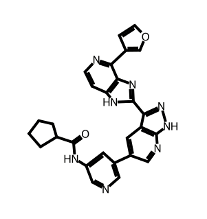 O=C(Nc1cncc(-c2cnc3[nH]nc(-c4nc5c(-c6ccoc6)nccc5[nH]4)c3c2)c1)C1CCCC1